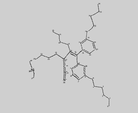 CCCCCCc1cccc(C(=C(CCCC)C(=C=[N+]=[N-])CCCC)c2cccc(CCCCC)c2)c1.[CH3][Ni][CH3]